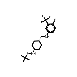 CC(C)(C)SN[C@H]1CC[C@H](CNc2ccc(F)c(C(F)(F)F)c2)CC1